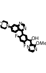 COc1nccnc1C(O)C1=CC(c2ncnc3cc(N4CCOCC4)ccc23)C(F)C=C1F